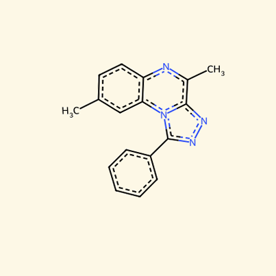 Cc1ccc2nc(C)c3nnc(-c4ccccc4)n3c2c1